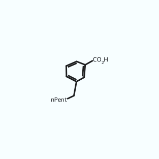 [CH]CCCCCc1cccc(C(=O)O)c1